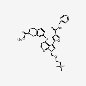 CC(C)(C)OC(=O)N1CCc2ccc(Oc3ccnc4c3c(-c3cc(C(=O)NCc5ccccc5)no3)cn4COCC[Si](C)(C)C)cc2C1